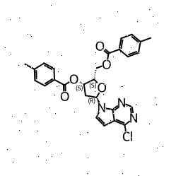 Cc1ccc(C(=O)OC[C@@H]2O[C@@H](n3ccc4c(Cl)ncnc43)C[C@@H]2OC(=O)c2ccc(C)cc2)cc1